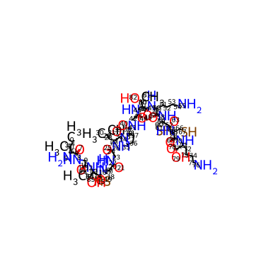 CC[C@H](C)[C@H](N)C(=O)NCC(=O)N[C@H](C(=O)N[C@@H](CS)C(=O)NCC(=O)N[C@@H](CC(C)C)C(=O)N1CCC[C@H]1C(=O)NCC(=O)N[C@H](C(=O)N[C@@H](CCCCN)C(=O)N[C@@H](CS)C(=O)N[C@@H](CS)C(=O)N[C@@H](CCCCN)C(=O)O)[C@@H](C)O)[C@@H](C)O